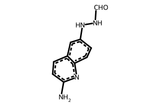 Nc1ccc2cc(NNC=O)ccc2n1